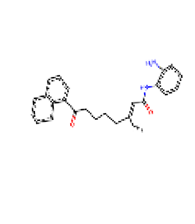 CC(=CC(=O)Nc1ccccc1N)CCCCC(=O)c1cccc2ccccc12